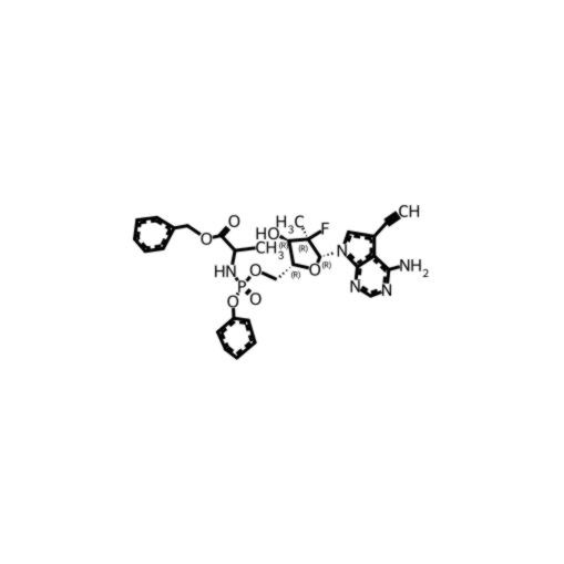 C#Cc1cn([C@@H]2O[C@H](COP(=O)(NC(C)C(=O)OCc3ccccc3)Oc3ccccc3)[C@@H](O)[C@@]2(C)F)c2ncnc(N)c12